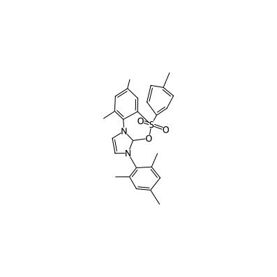 Cc1ccc(S(=O)(=O)OC2N(c3c(C)cc(C)cc3C)C=CN2c2c(C)cc(C)cc2C)cc1